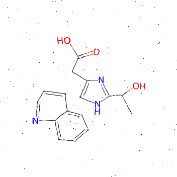 CC(O)c1nc(CC(=O)O)c[nH]1.c1ccc2ncccc2c1